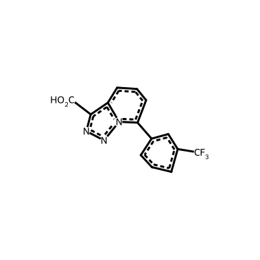 O=C(O)c1nnn2c(-c3cccc(C(F)(F)F)c3)cccc12